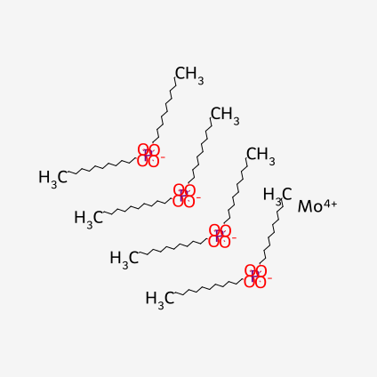 CCCCCCCCCCCCOP(=O)([O-])OCCCCCCCCCCCC.CCCCCCCCCCCCOP(=O)([O-])OCCCCCCCCCCCC.CCCCCCCCCCCCOP(=O)([O-])OCCCCCCCCCCCC.CCCCCCCCCCCCOP(=O)([O-])OCCCCCCCCCCCC.[Mo+4]